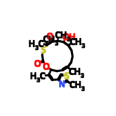 C/C1=C/C[C@@H](/C(C)=C\c2csc(C)n2)OC(=O)CSC(C)(C)C(=O)[C@H](C)[C@@H](O)[C@@H](C)CCC1